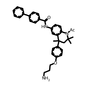 CC(=O)N1c2ccc(NC(=O)c3ccc(-c4ccccc4)cc3)cc2C(C)(c2ccc(OCCCN)cc2)CC1(C)C